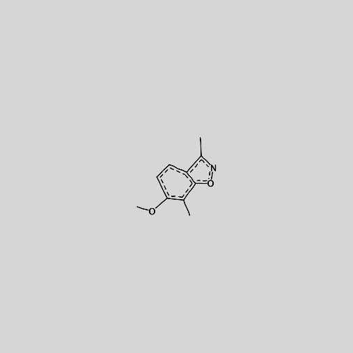 COc1ccc2c(C)noc2c1C